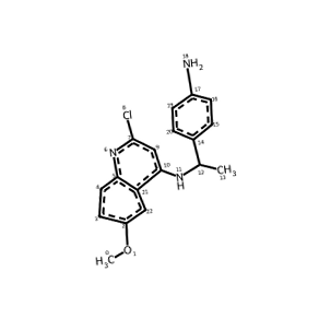 COc1ccc2nc(Cl)cc(NC(C)c3ccc(N)cc3)c2c1